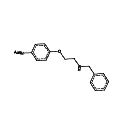 CC(=O)Nc1ccc(OCCNCc2ccccc2)cc1